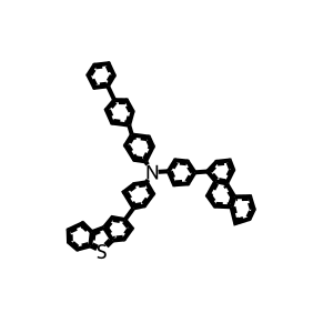 c1ccc(-c2ccc(-c3ccc(N(c4ccc(-c5ccc6sc7ccccc7c6c5)cc4)c4ccc(-c5cccc6c5ccc5ccccc56)cc4)cc3)cc2)cc1